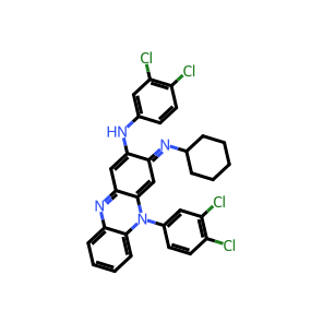 Clc1ccc(Nc2cc3nc4ccccc4n(-c4ccc(Cl)c(Cl)c4)c-3cc2=NC2CCCCC2)cc1Cl